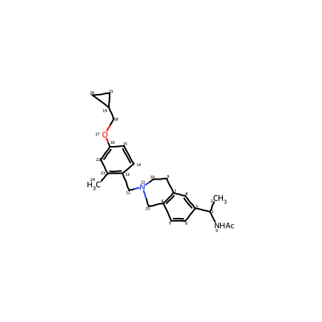 CC(=O)NC(C)c1ccc2c(c1)CCN(Cc1ccc(OCC3CC3)cc1C)C2